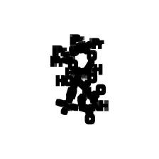 CC(C)[Si]1(C(C)C)OC[C@H]2OC(n3ccc(=O)[nH]c3=O)[C@@](O)(C#C[Si](C)(C)C)[C@@H]2O[Si](C(C)C)(C(C)C)O1